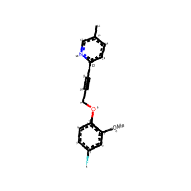 COc1cc(F)ccc1OCC#Cc1ccc(C)cn1